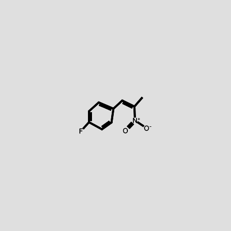 CC(=Cc1ccc(F)cc1)[N+](=O)[O-]